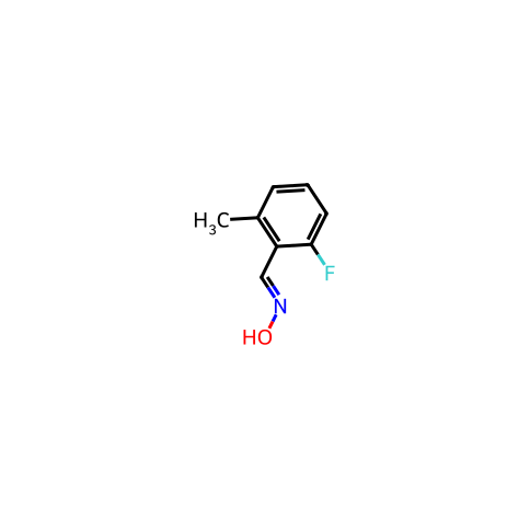 Cc1cccc(F)c1/C=N/O